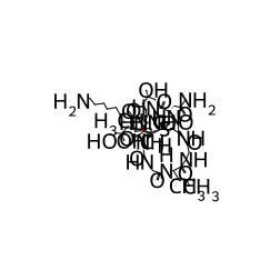 CC[C@H](C)[C@@H]1NC(=O)CNC(=O)C2Cc3c([nH]c4cc(OCCCCCCN)ccc34)[SH](C)(=O)CC(NC(=O)CNC1=O)C(=O)N[C@@H](CC(N)=O)C(=O)N1C[C@H](O)C[C@H]1C(=O)N[C@@H]([C@@H](C)[C@@H](O)CO)C(=O)N2